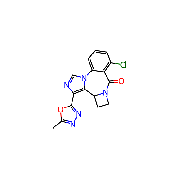 Cc1nnc(-c2ncn3c2C2CCN2C(=O)c2c(Cl)cccc2-3)o1